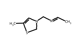 C/C=N/CN1C=C(C)SC1